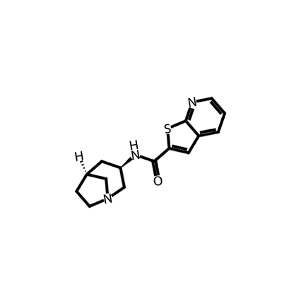 O=C(N[C@@H]1C[C@@H]2CCN(C2)C1)c1cc2cccnc2s1